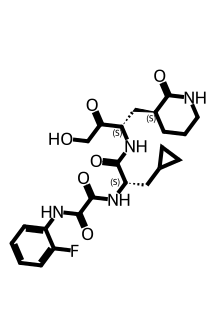 O=C(Nc1ccccc1F)C(=O)N[C@@H](CC1CC1)C(=O)N[C@@H](C[C@@H]1CCCNC1=O)C(=O)CO